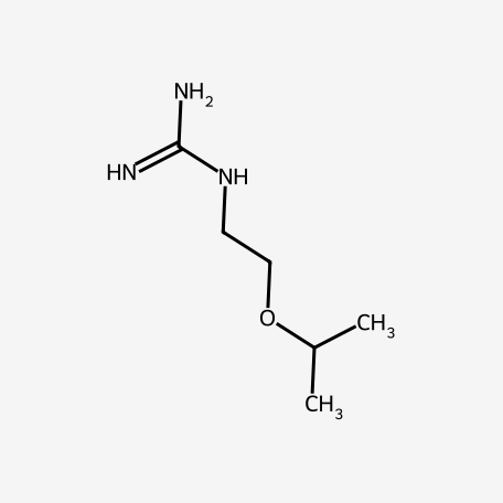 CC(C)OCCNC(=N)N